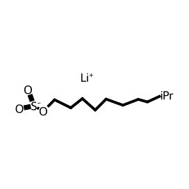 CC(C)CCCCCCCCO[S-](=O)=O.[Li+]